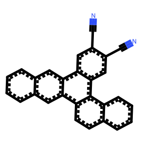 N#Cc1cc2c3cc4ccccc4cc3c3ccc4ccccc4c3c2cc1C#N